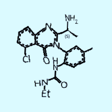 CCNC(=O)Nc1ccc(C)cc1-n1c([C@H](C)N)nc2cccc(Cl)c2c1=O